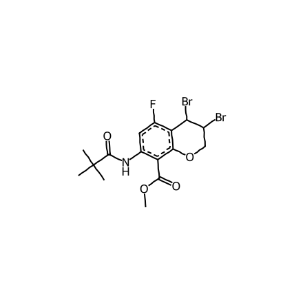 COC(=O)c1c(NC(=O)C(C)(C)C)cc(F)c2c1OCC(Br)C2Br